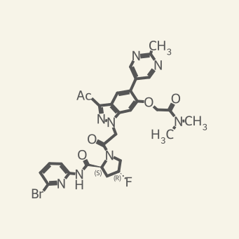 CC(=O)c1nn(CC(=O)N2C[C@H](F)C[C@H]2C(=O)Nc2cccc(Br)n2)c2cc(OCC(=O)N(C)C)c(-c3cnc(C)nc3)cc12